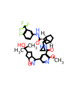 COc1ncc(C2=NOC3CC(C(C)(C)O)CC23)cc1C(=O)N[C@H]1[C@@H](C(=O)Nc2ccc(F)c(C(F)(F)F)c2)[C@H]2CC[C@@H]1/C2=C\C1CC1